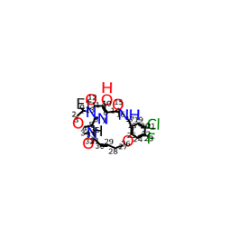 CC[C@H]1COC[C@@H]2c3nc(c(O)c(=O)n31)C(=O)NCc1cc(Cl)c(F)cc1OCC/C=C/C(=O)N2C